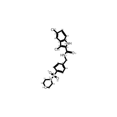 O=C(NCc1ccc(S(=O)(=O)N2CCOCC2)cc1)c1[nH]c2ccc(Cl)cc2c1Cl